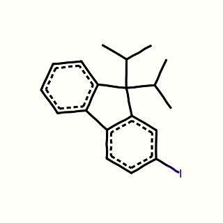 CC(C)C1(C(C)C)c2ccccc2-c2ccc(I)cc21